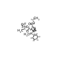 C=CC1(OC(=O)c2c(C(=O)OCC)nnn2[C@H](C)c2ccccc2)COC1